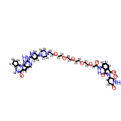 CN(C)C(=O)c1cc2cnc(Nc3ccc(N4CCN(CCOCCOCCOCCOCCOCC(=O)Nc5cccc6c5C(=O)N(C5CCC(=O)NC5=O)C6=O)CC4)cn3)nc2n1C1CCCC1